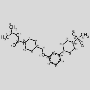 CC(C)OC(=O)N1CCC(COc2cccc(C3CCN(S(C)(=O)=O)CC3)c2)CC1